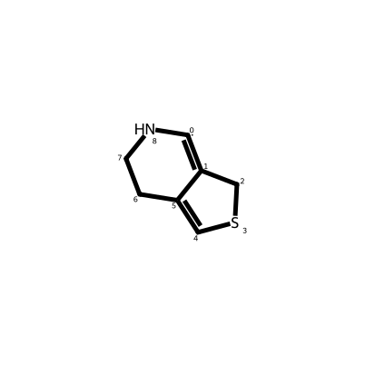 [C]1=C2CSC=C2CCN1